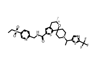 CCS(=O)(=O)c1ccc(CNC(=O)c2cc3c(s2)C2(CCN(C(C)c4cnc(C(F)(F)F)s4)CC2)O[C@@H](C)C3)nc1